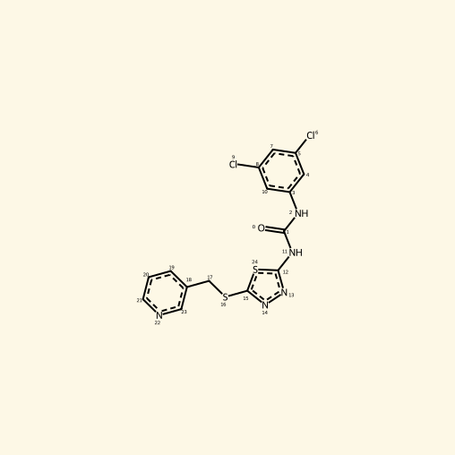 O=C(Nc1cc(Cl)cc(Cl)c1)Nc1nnc(SCc2cccnc2)s1